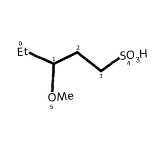 CCC(CCS(=O)(=O)O)OC